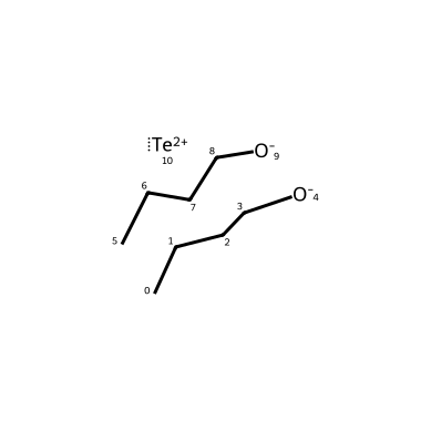 CCCC[O-].CCCC[O-].[Te+2]